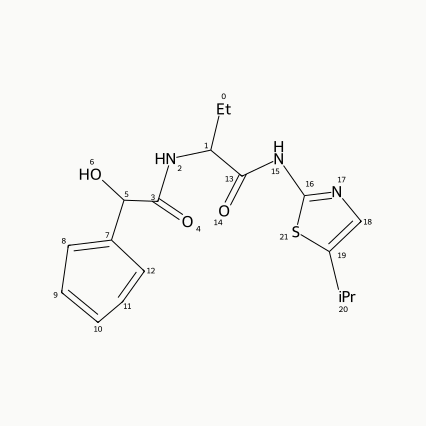 CCC(NC(=O)C(O)c1ccccc1)C(=O)Nc1ncc(C(C)C)s1